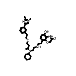 Cc1nc(-c2cccc(CCOCCC(=O)N(CCNCCc3ccc(O)c4c3OCC(=O)N4)C3CCCCC3)c2)cn1C